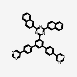 c1ccc2cc(-c3nc(-c4cc(-c5ccc(-c6cncnc6)cc5)cc(-c5ccc(-c6cncnc6)cc5)c4)nc(-c4ccc5ccccc5c4)n3)ccc2c1